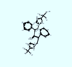 O=C(C(Cn1cnc(C(F)(F)F)n1)c1ccccc1)C(Cn1cnc(C(F)(F)F)n1)c1ccccc1